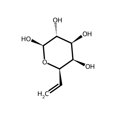 C=C[C@H]1O[C@@H](O)[C@H](O)[C@@H](O)[C@H]1O